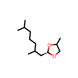 CC(C)CCCC(C)C[C@@H]1OCC(C)O1